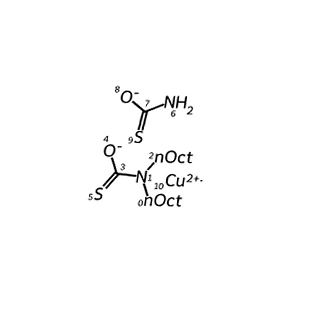 CCCCCCCCN(CCCCCCCC)C([O-])=S.NC([O-])=S.[Cu+2]